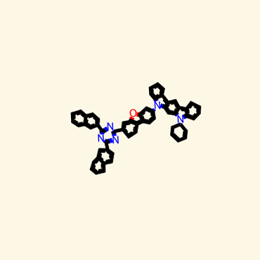 C1=CCC(n2c3ccccc3c3cc4c5ccccc5n(-c5ccc6c(c5)oc5cc(-c7nc(-c8ccc9ccccc9c8)nc(-c8ccc9ccccc9c8)n7)ccc56)c4cc32)C=C1